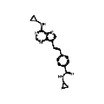 O=C(NC1CC1)c1ccc(/C=C/c2csc3c(NC4CC4)ncnc23)cc1